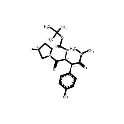 CN(C)C(=O)[C@@H](c1ccc(O)cc1)[C@H](NC(=O)OC(C)(C)C)C(=O)N1CC[C@H](F)C1